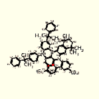 Cc1cc2c3c(c1)N(c1ccc(C(C)(C)C)cc1-c1ccc(C(C)(C)C)cc1)c1cc4c(cc1B3c1cc(C(C)(C)c3ccccc3)ccc1N2c1ccc(C(C)(C)c2ccccc2)cc1)C(C)(C)CCC4(C)C